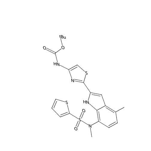 Cc1ccc(N(C)S(=O)(=O)c2cccs2)c2[nH]c(-c3nc(NC(=O)OC(C)(C)C)cs3)cc12